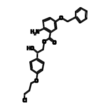 Nc1ccc(OCc2ccccc2)cc1C(=O)OCC(O)c1ccc(OCCCCl)cc1